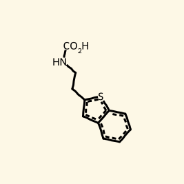 O=C(O)NCCc1cc2ccccc2s1